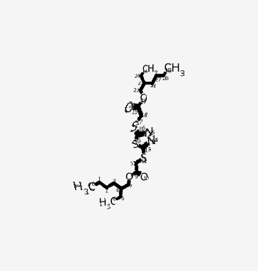 CCCCC(CC)COC(=O)CSc1nnc(SCC(=O)OCC(CC)CCCC)s1